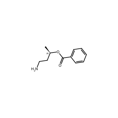 C[C@H](CCN)OC(=O)c1ccccc1